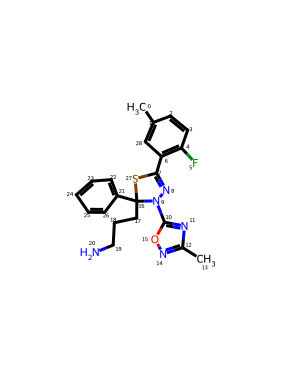 Cc1ccc(F)c(C2=NN(c3nc(C)no3)C(CCCN)(c3ccccc3)S2)c1